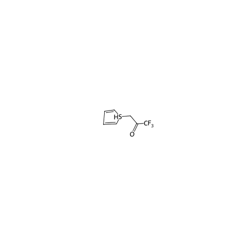 O=C(C[SH]1C=CC=C1)C(F)(F)F